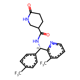 O=C1CCC(C(=O)N[C@@H](c2ccc(C(F)(F)F)cc2)c2ncccc2C(F)(F)F)CN1